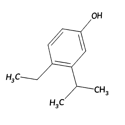 CCc1ccc(O)cc1C(C)C